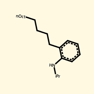 CCCCCCCCCCCCc1ccccc1NC(C)C